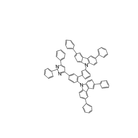 c1ccc(-c2ccc3c(c2)c2cc(-c4ccccc4)ccc2n3-c2cccc(-c3cc(-c4cc(-c5ccccc5)nc(-c5ccccc5)n4)ccc3-n3c4ccc(-c5ccccc5)cc4c4cc(-c5ccccc5)ccc43)c2)cc1